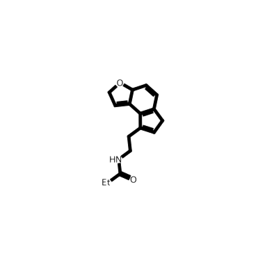 CCC(=O)NCCC1=CCC2=C1C1=CCOC1C=C2